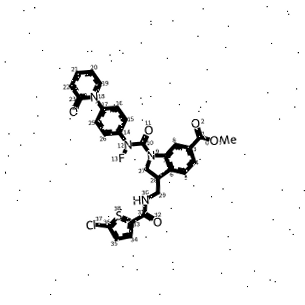 COC(=O)c1ccc2c(c1)N(C(=O)N(F)c1ccc(-n3ccccc3=O)cc1)CC2CNC(=O)c1ccc(Cl)s1